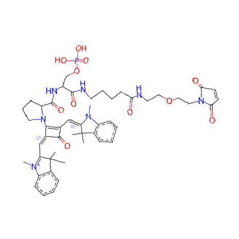 CN1/C(=C/C2=C(N3CCCC3C(=O)NC(COP(=O)(O)O)C(=O)NCCCCC(=O)NCCOCCN3C(=O)C=CC3=O)C(=C/C3=[N+](C)c4ccccc4C3(C)C)/C2=O)C(C)(C)c2ccccc21